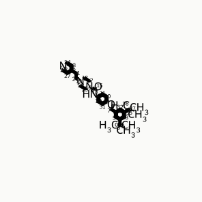 CC(C)(C)c1cc(COc2ccc(NC(=O)N3CCN(CCc4ccncc4)CC3)cc2)cc(C(C)(C)C)c1